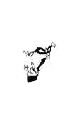 COc1ccc2nc3cc(Cl)ccc3c(NCCCCN(CC3CC3)C(C)=O)c2c1